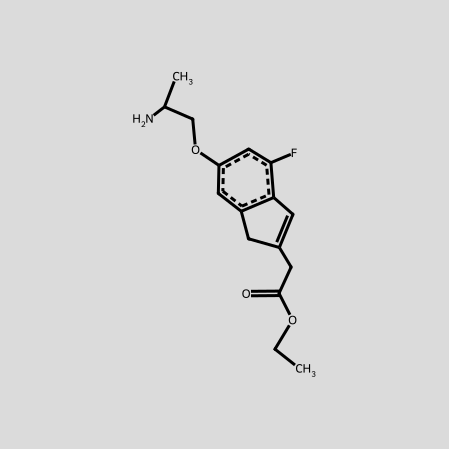 CCOC(=O)CC1=Cc2c(F)cc(OCC(C)N)cc2C1